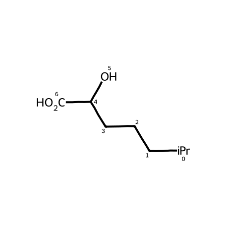 CC(C)CCCC(O)C(=O)O